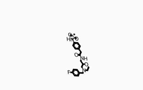 CS(=O)(=O)Nc1ccc(CC(=O)NCC2CN(Cc3ccc(F)cc3)CCO2)cc1